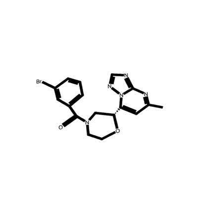 Cc1cc([C@H]2CN(C(=O)c3cccc(Br)c3)CCO2)n2ncnc2n1